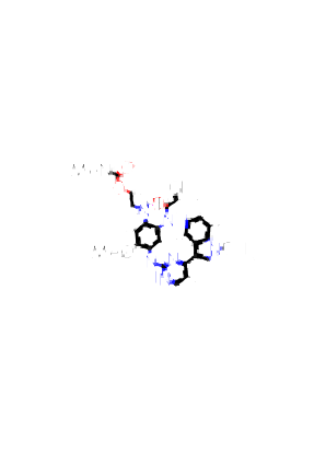 C=CC(=O)Nc1cc(Nc2nccc(-c3cn(C)c4ccccc34)n2)c(OC)cc1N(C)CCOC(=O)NC